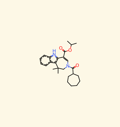 CC(C)OC(=O)C1=CN(C(=O)C2CCCCCC2)CC(C)(C)c2c1[nH]c1ccccc21